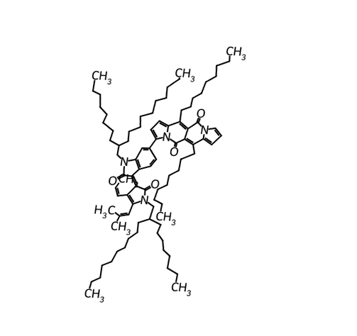 C/C=C\C1=C(C=C(C)C)N(CC(CCCCCCCC)CCCCCCCCCC)C(=O)/C1=C1/C(=O)N(CC(CCCCCCCC)CCCCCCCCCC)c2cc(-c3ccc4c(CCCCCCCCC)c5c(=O)n6cccc6c(CCCCCCCCC)c5c(=O)n34)ccc21